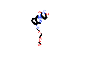 O=C1CCC(N2Cc3cccc(NCCOCCOCCO)c3C2)C(=O)N1